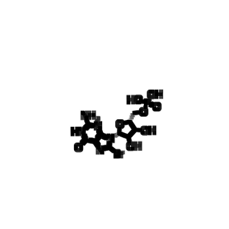 Nc1nc2c(nc(Br)n2[C@@H]2O[C@H](COP(=O)(O)O)C(O)C2O)c(=O)[nH]1